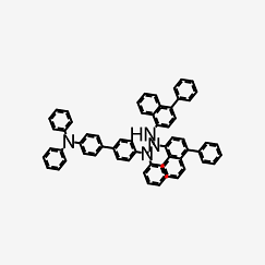 c1ccc(-c2ccc(NN(c3ccc(-c4ccccc4)c4ccccc34)N(c3ccccc3)c3ccc(-c4ccc(N(c5ccccc5)c5ccccc5)cc4)cc3)c3ccccc23)cc1